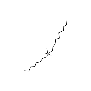 CCCCCCCCCCP(C)(C)(C)CCCCCCCC